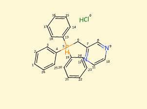 Cl.c1ccc([PH](Cc2cnccn2)(c2ccccc2)c2ccccc2)cc1